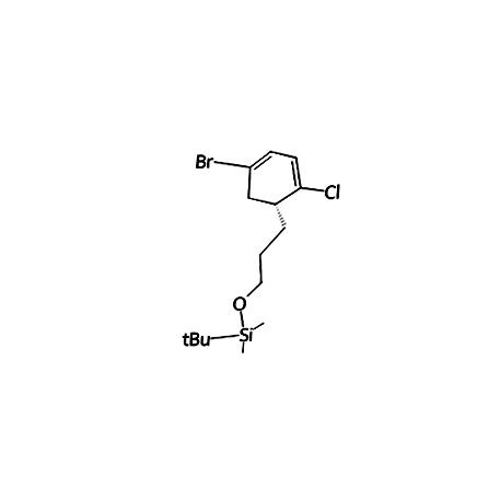 CC(C)(C)[Si](C)(C)OCCC[C@@H]1CC(Br)=CC=C1Cl